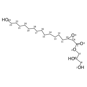 O=C(OCC(O)CO)C1OC1CCCCCCCCCCCCCO